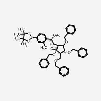 CC(=O)O[C@H](c1ccc(B2OC(C)(C)C(C)(C)O2)cc1C)[C@H]1O[C@]2(OCc3ccccc3)C(COCc3ccccc3)[C@@H](OCc3ccccc3)C(OCc3ccccc3)C12